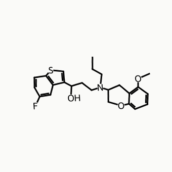 CCCN(CCC(O)c1csc2ccc(F)cc12)C1COc2cccc(OC)c2C1